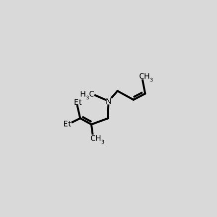 C/C=C\CN(C)CC(C)=C(CC)CC